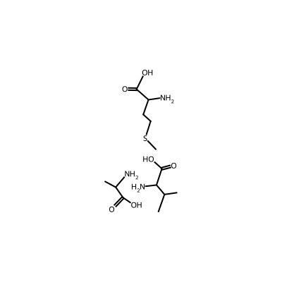 CC(C)C(N)C(=O)O.CC(N)C(=O)O.CSCCC(N)C(=O)O